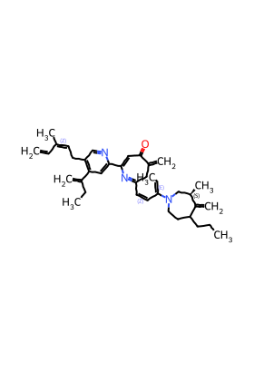 C=C/C(C)=C\Cc1cnc(C2=CC(=O)C(=C)CC(/C=C\C(=C/C)N3CCC(CCC)C(=C)[C@H](C)C3)=N2)cc1C(=C)CC